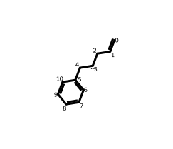 C=CC[C]Cc1ccccc1